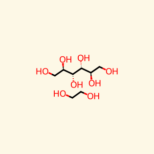 OCCO.OC[C@@H](O)[C@@H](O)[C@H](O)[C@H](O)CO